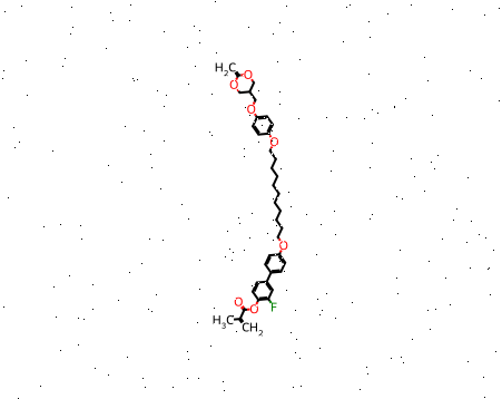 C=C1OCC(COc2ccc(OCCCCCCCCCCCOc3ccc(-c4ccc(OC(=O)C(=C)C)c(F)c4)cc3)cc2)CO1